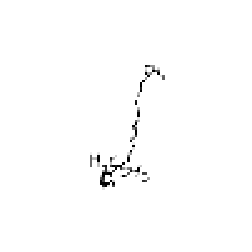 CCCCCCCCCCCCC(C)(C)c1cccs1